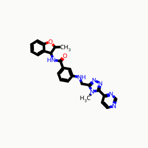 CC1Oc2ccccc2C1NC(=O)c1cccc(NCc2nnc(-c3ccncn3)n2C)c1